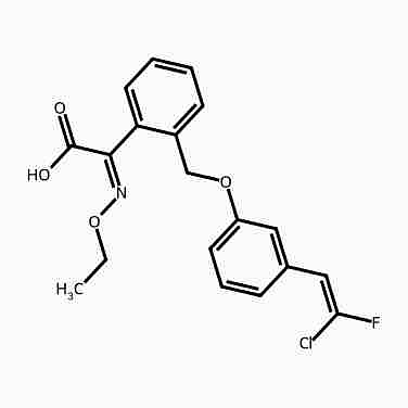 CCON=C(C(=O)O)c1ccccc1COc1cccc(C=C(F)Cl)c1